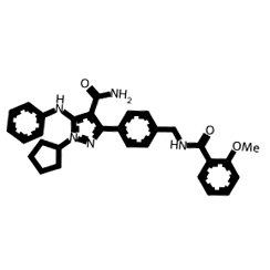 COc1ccccc1C(=O)NCc1ccc(-c2nn(C3CCCC3)c(Nc3ccccc3)c2C(N)=O)cc1